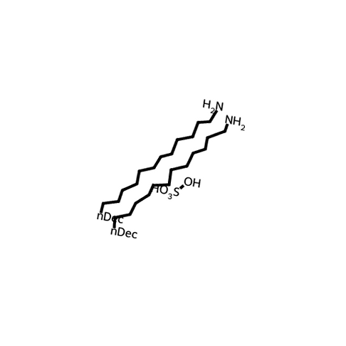 CCCCCCCCCCCCCCCCCCCCCCN.CCCCCCCCCCCCCCCCCCCCCCN.O=S(=O)(O)O